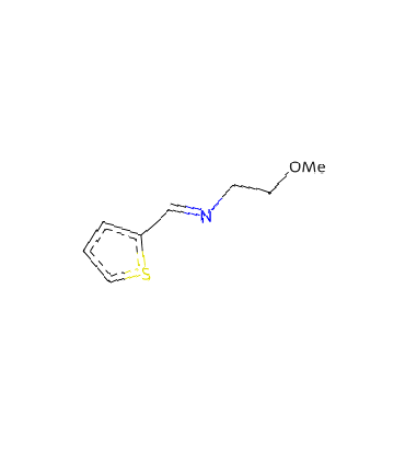 COCCN=Cc1cccs1